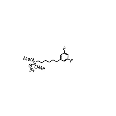 CO[Si](CCCCCCc1cc(F)cc(F)c1)(OC)OC(C)C